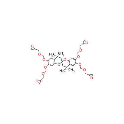 CC1(C)CC2(CC(C)(C)c3cc(OCOCC4CO4)c(OCOCC4CO4)cc3O2)Oc2cc(OCOCC3CO3)c(OCOCC3CO3)cc21